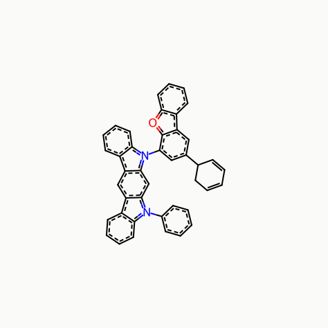 C1=CCC(c2cc(-n3c4ccccc4c4cc5c6ccccc6n(-c6ccccc6)c5cc43)c3oc4ccccc4c3c2)C=C1